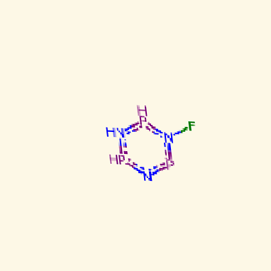 Fn1pn[pH][nH][pH]1